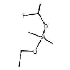 CCO[Si](C)(C)OC(C)F